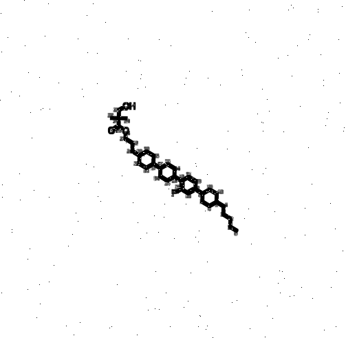 CCCCCC1CCC(c2ccc(C3CCC(C4CCC(CCCOC(=O)C(C)(C)CO)CC4)CC3)c(F)c2)CC1